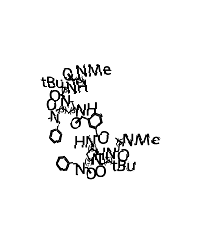 CN[C@@H](C)C(=O)N[C@H](C(=O)N1C[C@@H](NC(=O)c2cccc(C(=O)N[C@H]3C[C@@H](C(=O)N(C)Cc4ccccc4)N(C(=O)[C@@H](NC(=O)[C@H](C)NC)C(C)(C)C)C3)c2)C[C@H]1C(=O)N(C)Cc1ccccc1)C(C)(C)C